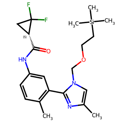 Cc1cn(COCC[Si](C)(C)C)c(-c2cc(NC(=O)[C@@H]3CC3(F)F)ccc2C)n1